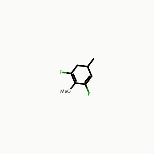 COC1=C(F)CC(C)C=C1F